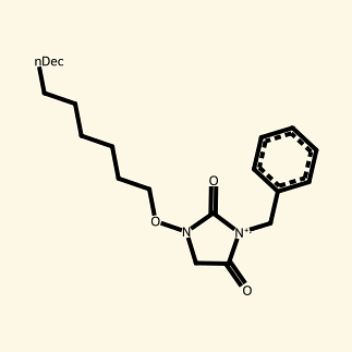 CCCCCCCCCCCCCCCCON1CC(=O)[N+](Cc2ccccc2)C1=O